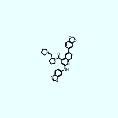 O=C(c1cc(Nc2ccc3ncsc3c2)nc2ccc(-c3ccc4c(c3)OCO4)cc12)N1CCC[C@H]1CN1CCCC1